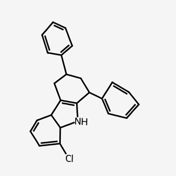 ClC1=CC=CC2C3=C(NC12)C(c1ccccc1)CC(c1ccccc1)C3